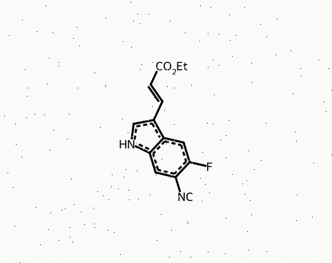 [C-]#[N+]c1cc2[nH]cc(/C=C/C(=O)OCC)c2cc1F